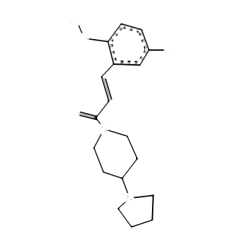 CCOc1ccc(Br)cc1C=CC(=O)N1CCC(N2CCCC2)CC1